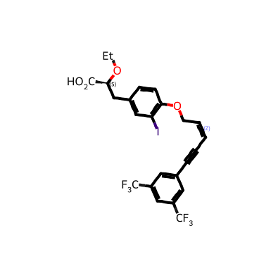 CCO[C@@H](Cc1ccc(OC/C=C\C#Cc2cc(C(F)(F)F)cc(C(F)(F)F)c2)c(I)c1)C(=O)O